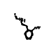 CCCc1ccccc1CCNC=S